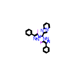 Ic1c(-c2ccccc2)nnn1C(c1cn2ccccc2n1)n1nnc(-c2ccccc2)c1I